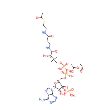 CC(=O)O.CC(=O)SCCNC(=O)CCNC(=O)[C@H](O)C(C)(C)COP(=O)(O)OP(=O)(O)OC[C@H]1O[C@@H](n2cnc3c(N)ncnc32)[C@H](O)[C@@H]1OP(=O)(O)O.CC=O